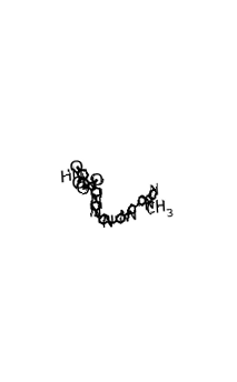 Cn1c2ccncc2c2ccc(-c3ccc(N4CCC(CN5CCC(CN6CCN(c7ccc8c(c7)C(=O)N(C7CCC(=O)NC7=O)C8=O)CC6)CC5)CC4)nc3)cc21